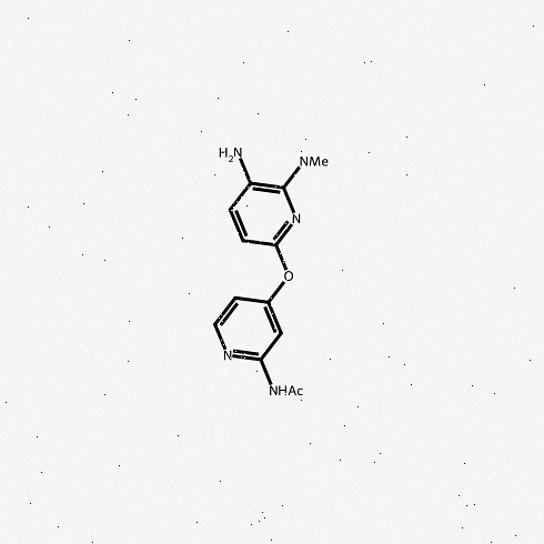 CNc1nc(Oc2ccnc(NC(C)=O)c2)ccc1N